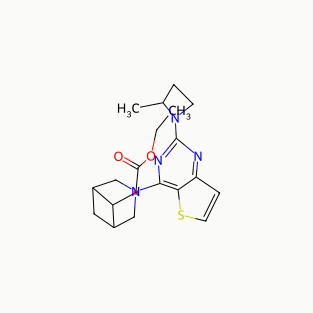 CCOC(=O)CC1C2CC1CN(c1nc(N3CCC3C)nc3ccsc13)C2